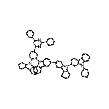 c1ccc(-c2nc(-c3ccccc3)nc(-c3ccc(-n4c5ccccc5c5ccccc54)c(-n4c5ccccc5c5cc(-c6ccc7c(c6)c6ccccc6n7-c6ccc7c8ccccc8n(-c8ccccc8)c7c6)ccc54)c3)n2)cc1